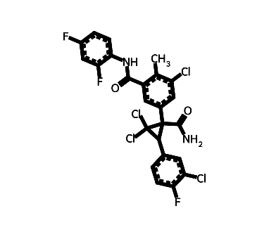 Cc1c(Cl)cc(C2(C(N)=O)C(c3ccc(F)c(Cl)c3)C2(Cl)Cl)cc1C(=O)Nc1ccc(F)cc1F